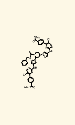 COC(=O)c1ccc(-c2nc(Nc3cnn(C4CCN(C(=O)OCc5ccccc5)C(n5cc(Nc6ncc(Cl)c(-c7ccc(C(=O)OC)cc7)n6)cn5)C4)c3)ncc2Cl)cc1